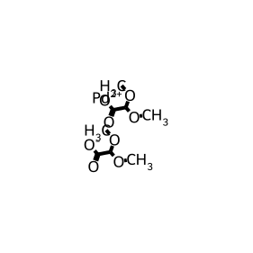 COC(OC)C(=O)[O-].COC(OC)C(=O)[O-].[Pd+2]